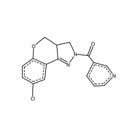 O=C(c1cccnc1)N1CC2COc3ccc(Cl)cc3C2=N1